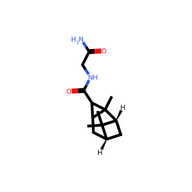 CC12C(C[C@H]3C[C@@H]1C3(C)C)C2C(=O)NCC(N)=O